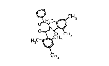 Cc1cc(C)c(C(=O)P(CC(=O)c2ccccc2)C(=O)c2c(C)cc(C)cc2C)c(C)c1